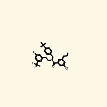 CCCc1cc(Cl)cc(C(=O)N(CCc2cc(F)cc(C(F)(F)F)c2)Cc2ccc(C(C)(C)C)cc2)c1